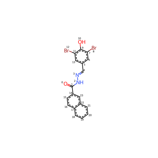 O=C(NN=Cc1cc(Br)c(O)c(Br)c1)c1ccc2ccccc2c1